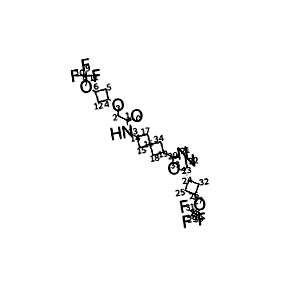 O=C(CO[C@H]1C[C@H](OC(F)(F)F)C1)NC1CC2(C1)CC(c1nnc([C@H]3C[C@@H](OC(F)(F)F)C3)o1)C2